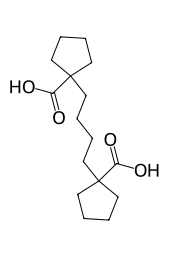 O=C(O)C1(CCCCC2(C(=O)O)CCCC2)CCCC1